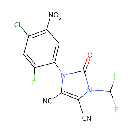 N#Cc1c(C#N)n(C(F)F)c(=O)n1-c1cc([N+](=O)[O-])c(Cl)cc1F